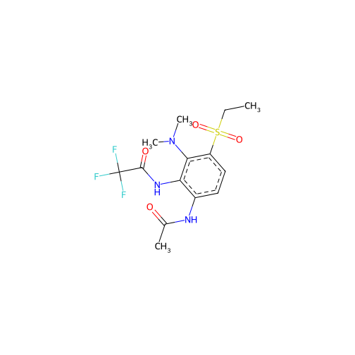 CCS(=O)(=O)c1ccc(NC(C)=O)c(NC(=O)C(F)(F)F)c1N(C)C